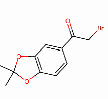 CC1(C)Oc2ccc(C(=O)CBr)cc2O1